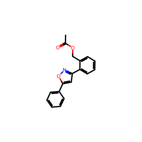 CC(=O)OCc1ccccc1-c1cc(-c2ccccc2)on1